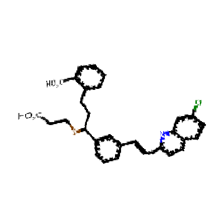 O=C(O)CCSC(CCc1ccccc1C(=O)O)c1cccc(C=Cc2ccc3ccc(Cl)cc3n2)c1